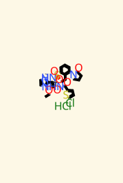 CCOC(=O)[C@](CNC(=O)c1ccc(Cl)s1)(NS(=O)(=O)c1cccc(N2CCCC2=O)c1CC)c1nccn1C.Cl